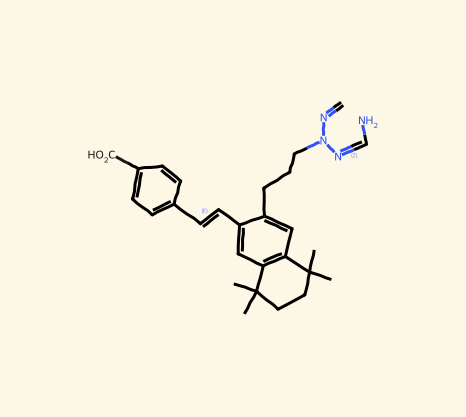 C=NN(CCCc1cc2c(cc1/C=C/c1ccc(C(=O)O)cc1)C(C)(C)CCC2(C)C)/N=C\N